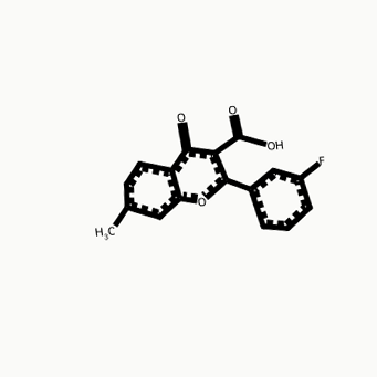 Cc1ccc2c(=O)c(C(=O)O)c(-c3cccc(F)c3)oc2c1